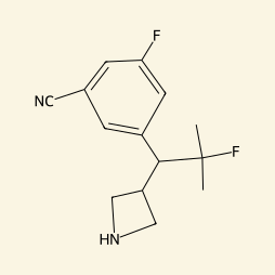 CC(C)(F)C(c1cc(F)cc(C#N)c1)C1CNC1